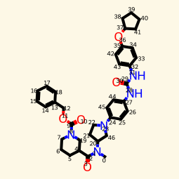 CN(C(=O)C1CCCN(C(=O)OCc2ccccc2)C1)C1CCN(c2ccc(NC(=O)Nc3ccc(OC4CCCC4)cc3)cc2)C1